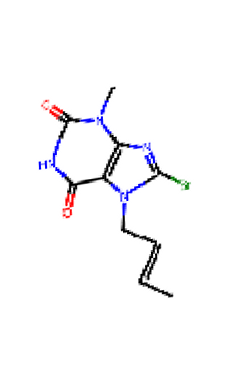 CC=CCn1c(Br)nc2c1c(=O)[nH]c(=O)n2C